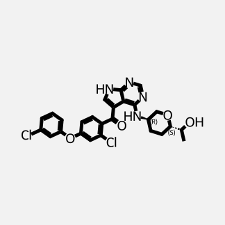 CC(O)[C@@H]1CC[C@@H](Nc2ncnc3[nH]cc(C(=O)c4ccc(Oc5cccc(Cl)c5)cc4Cl)c23)CO1